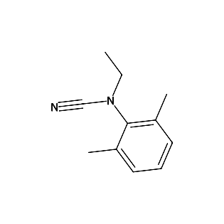 CCN(C#N)c1c(C)cccc1C